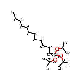 [CH2]CCCCCCCCCCC[Si](OC(C)C)(OC(C)C)OC(C)C